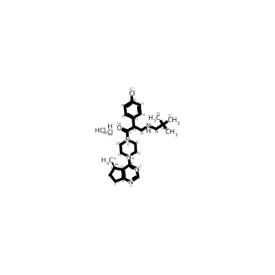 C[C@@H]1CCc2ncnc(N3CCN(C(=O)C(CNCC(C)(C)C)c4ccc(Cl)cc4)CC3)c21.Cl.Cl